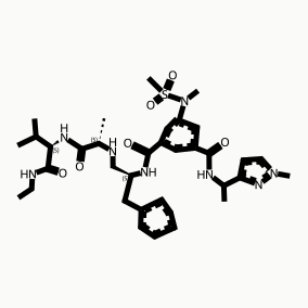 CCNC(=O)[C@@H](NC(=O)[C@H](C)NC[C@H](Cc1ccccc1)NC(=O)c1cc(C(=O)NC(C)c2ccn(C)n2)cc(N(C)S(C)(=O)=O)c1)C(C)C